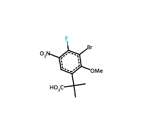 COc1c(C(C)(C)C(=O)O)cc([N+](=O)[O-])c(F)c1Br